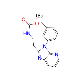 Cc1cccc(-n2c(CCNC(=O)OC(C)(C)C)nc3cccnc32)c1